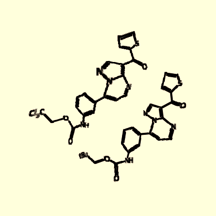 CC(C)(C)COC(=O)Nc1cccc(-c2ccnc3c(C(=O)c4cccs4)cnn23)c1.O=C(Nc1cccc(-c2ccnc3c(C(=O)c4cccs4)cnn23)c1)OCC(Cl)(Cl)Cl